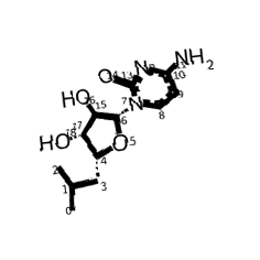 CC(C)C[C@H]1O[C@@H](n2ccc(N)nc2=O)C(O)[C@H]1O